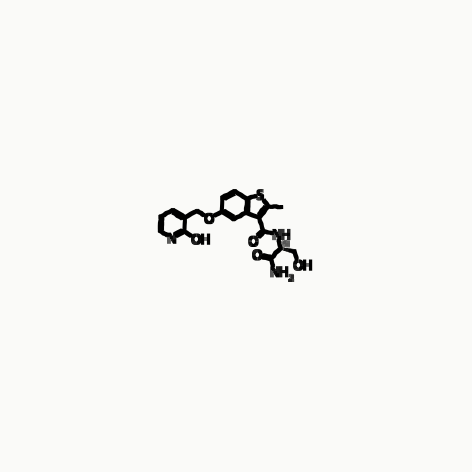 Cc1sc2ccc(OCc3cccnc3O)cc2c1C(=O)N[C@@H](CO)C(N)=O